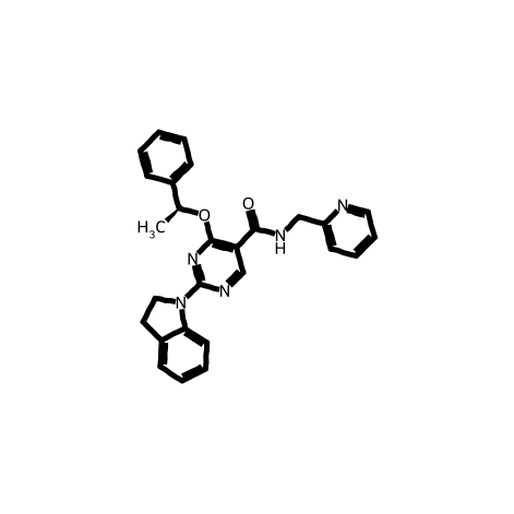 C[C@H](Oc1nc(N2CCc3ccccc32)ncc1C(=O)NCc1ccccn1)c1ccccc1